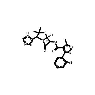 Cc1onc(-c2ccccc2Cl)c1C(=O)NC1C(=O)N2C(c3nnn[nH]3)C(C)(C)S[C@H]12